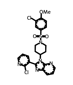 COc1ccc(S(=O)(=O)N2CCC(n3c(-c4cccnc4Cl)nc4cccnc43)CC2)cc1Cl